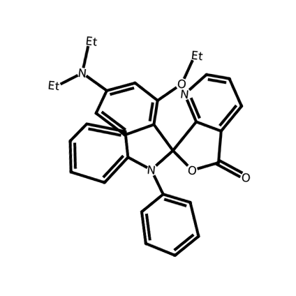 CCOc1cc(N(CC)CC)ccc1C1(N(c2ccccc2)c2ccccc2)OC(=O)c2cccnc21